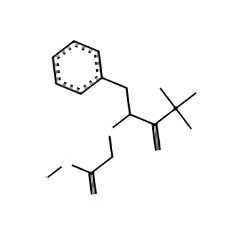 C=C(C(Cc1ccccc1)SCC(=O)OI)C(C)(C)C